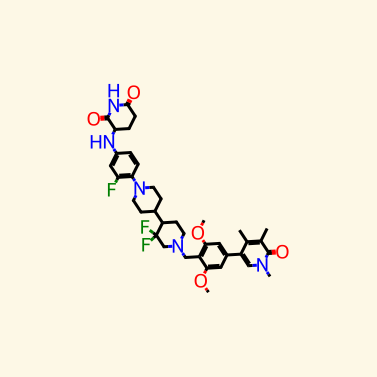 COc1cc(-c2cn(C)c(=O)c(C)c2C)cc(OC)c1CN1CCC(C2CCN(c3ccc(NC4CCC(=O)NC4=O)cc3F)CC2)C(F)(F)C1